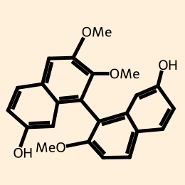 COc1cc2ccc(O)cc2c(-c2c(OC)ccc3ccc(O)cc23)c1OC